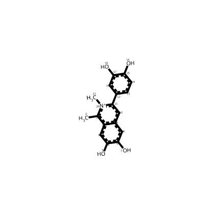 Cc1c2cc(O)c(O)cc2cc(-c2ccc(O)c(O)c2)[n+]1C